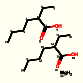 CCCCC(CC)C(=O)O.CCCCC(CC)C(=O)O.[MgH2]